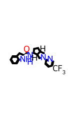 O=C(N[C@H]1CC[C@@H]2CN(c3ccc(C(F)(F)F)cn3)C[C@@H]21)[C@@H]1Cc2ccccc2N1